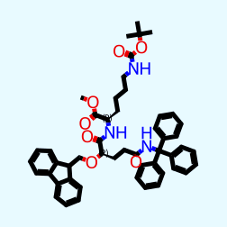 COC(=O)[C@@H](CCCCNC(=O)OC(C)(C)C)NC(=O)[C@@H](CCC(=O)NC(c1ccccc1)(c1ccccc1)c1ccccc1)OCC1c2ccccc2-c2ccccc21